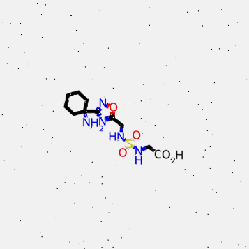 NC1(c2noc(CNS(=O)(=O)NCC(=O)O)n2)CCCCC1